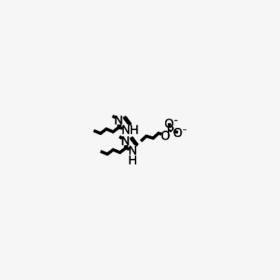 CCCCOP([O-])[O-].CCCCc1[nH]cc[n+]1C.CCCCc1[nH]cc[n+]1C